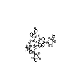 COC(=O)[C@@H]1C[C@H](OC(=O)c2cccc(F)c2)C(=O)C2[C@@]1(C)CC[C@H]1C(=O)O[C@H](c3ccoc3)C[C@]21C